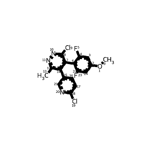 COc1cc(F)c(-c2c(Cl)nnc(C)c2-c2ccc(Cl)nc2)c(F)c1